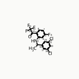 CC(Nc1cc(F)ccc1C(=O)C(F)(F)F)c1cc(Cl)cc(Cl)c1